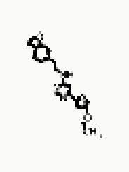 CCOc1csc(-c2cc(NCCc3ccc4ccoc4c3)ncn2)c1